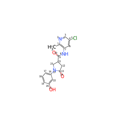 Cc1ncc(Cl)cc1NC(=O)C1CC(=O)N(c2cccc(O)c2)C1